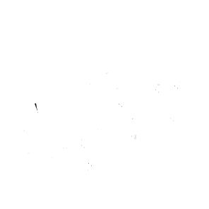 C[C@H]1C[C@H](n2cc(Nc3nc(C4CCCCC4)cn4ncnc34)cn2)CCN1